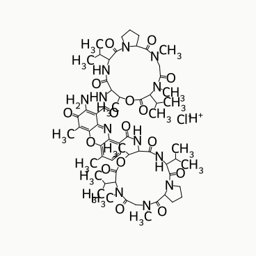 Cc1c2oc3c(C)ccc(C(=O)NC4C(=O)NC(C(C)C)C(=O)N5CCCC5C(=O)N(C)CC(=O)N(C)C(C(C)C)C(=O)OC4C)c3nc-2c(C(=O)NC2C(=O)NC(C(C)C)C(=O)N3CCCC3C(=O)N(C)CC(=O)N(C)C(C(C)C)C(=O)OC2C)c(N)c1=O.[Cl-].[H+]